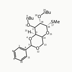 CCCCOC1[C@@H]2OC(c3ccccc3)OCC2O[C@@H](SC)[C@H]1OCCCC